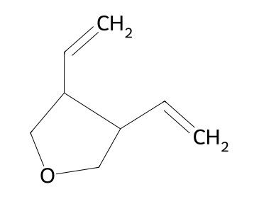 C=CC1COCC1C=C